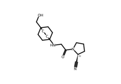 N#C[C@@H]1CCCN1C(=O)CNC12CCC(CO)(CC1)CC2